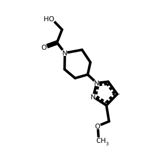 COCc1[c]cn(C2CCN(C(=O)CO)CC2)n1